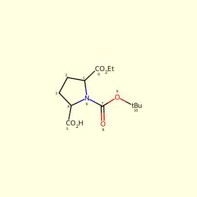 CCOC(=O)C1CCC(C(=O)O)N1C(=O)OC(C)(C)C